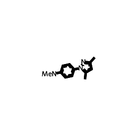 CNc1ccc(-n2nc(C)cc2C)cc1